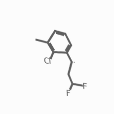 Cc1cccc([CH]CC(F)F)c1Cl